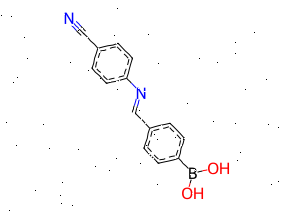 N#Cc1ccc(/N=C/c2ccc(B(O)O)cc2)cc1